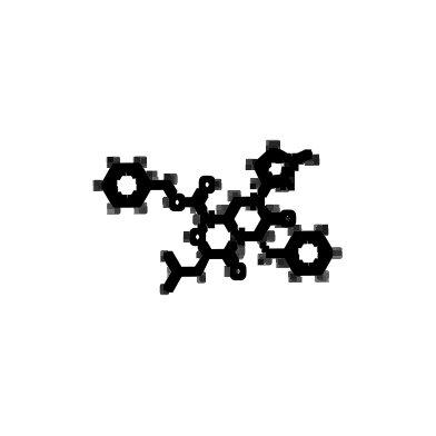 CC(C)C[C@H]1ON(C(=O)OCc2ccccc2)C2CN(c3ccn(C)n3)C(=O)[C@H](Cc3ccccc3)N2C1=O